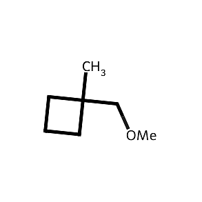 COCC1(C)CCC1